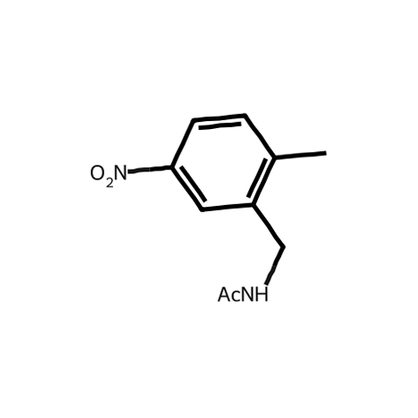 CC(=O)NCc1cc([N+](=O)[O-])ccc1C